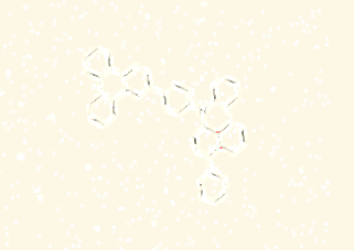 c1ccc(-c2ccc(N(c3ccc(-c4ccc5c6ccccc6c6ccccc6c5c4)cc3)c3ccccc3-c3ccccc3)cc2)cc1